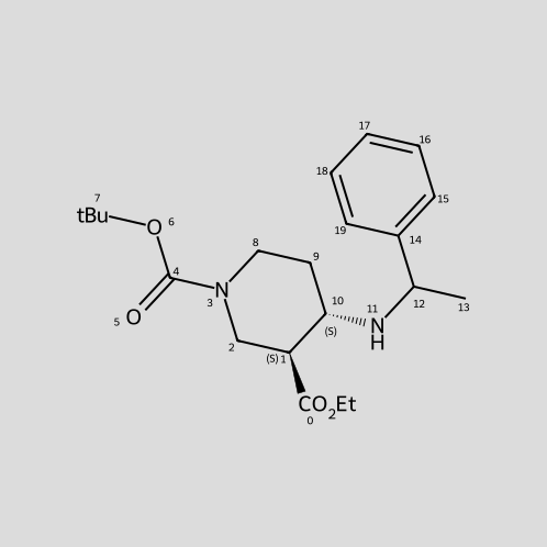 CCOC(=O)[C@H]1CN(C(=O)OC(C)(C)C)CC[C@@H]1NC(C)c1ccccc1